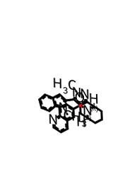 Cn1nc2c(c1-c1cc3ccccc3n1C)C[C@@H]1CCC[C@H]2N1C(=O)c1ccc2ncccc2c1